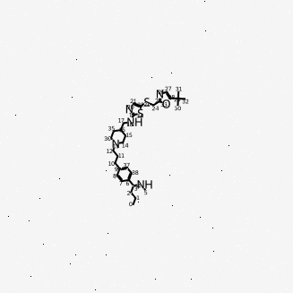 CCCC(NC)c1ccc(CCCN2CCC(CNc3ncc(SCc4ncc(C(C)(C)C)o4)s3)CC2)cc1